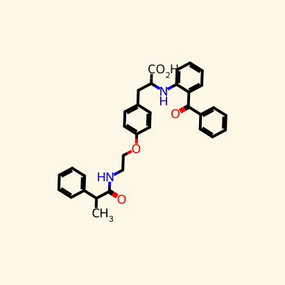 CC(C(=O)NCCOc1ccc(CC(Nc2ccccc2C(=O)c2ccccc2)C(=O)O)cc1)c1ccccc1